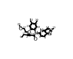 CCC#CC(=O)N(c1ccc2nn(C)cc2n1)c1cc(C)c(I)cc1OCCOC